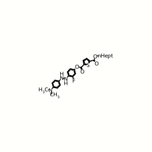 CCCCCCCOC(=O)c1ccc(C(=O)Oc2ccc(NNc3ccc(N(C)C)cc3)c(F)c2)s1